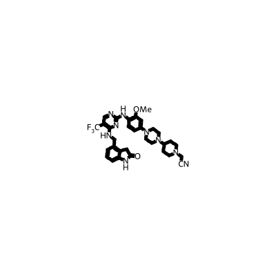 COc1cc(N2CCN(C3CCN(CC#N)CC3)CC2)ccc1Nc1ncc(C(F)(F)F)c(NCc2cccc3c2CC(=O)N3)n1